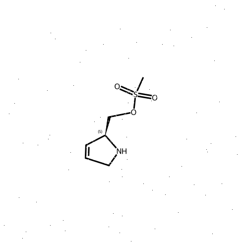 CS(=O)(=O)OC[C@@H]1C=CCN1